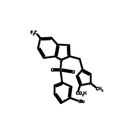 Cn1cc(Cc2cc3cc(C(F)(F)F)ccc3n2S(=O)(=O)c2cccc(C(C)(C)C)c2)cc1C(=O)O